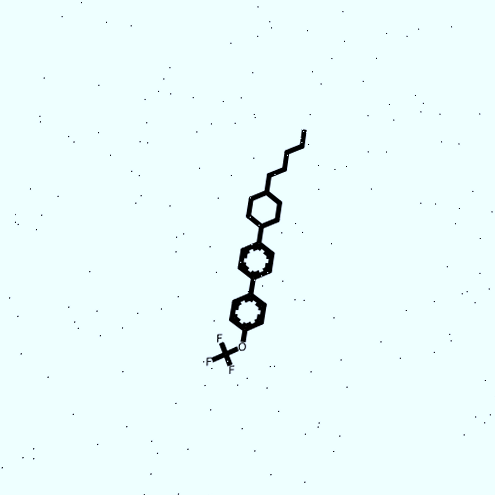 CCCCCC1CCC(c2ccc(-c3ccc(OC(F)(F)F)cc3)cc2)CC1